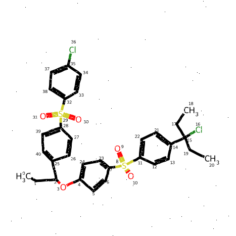 CCC(Oc1ccc(S(=O)(=O)c2ccc(C(Cl)(CC)CC)cc2)cc1)c1ccc(S(=O)(=O)c2ccc(Cl)cc2)cc1